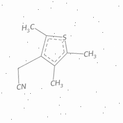 Cc1sc(C)c(CC#N)c1C